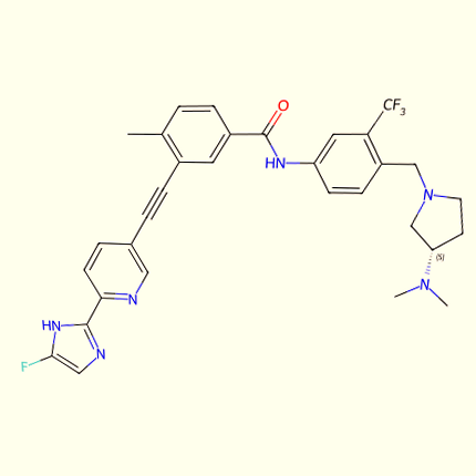 Cc1ccc(C(=O)Nc2ccc(CN3CC[C@H](N(C)C)C3)c(C(F)(F)F)c2)cc1C#Cc1ccc(-c2ncc(F)[nH]2)nc1